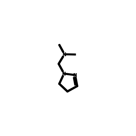 CN(C)CN1CCC=N1